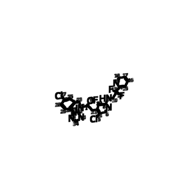 O=C(Cc1c(Cl)cnc(NCC(F)(F)c2ccccn2)c1F)NCc1cc(Cl)ccc1-n1cncn1